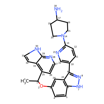 CC(Oc1ccc2[nH]nc(-c3ccc(N4CCC(N)CC4)nc3)c2c1)c1ccnc2[nH]ccc12